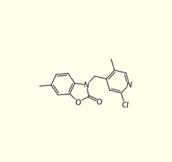 Cc1ccc2c(c1)oc(=O)n2Cc1cc(Cl)ncc1C